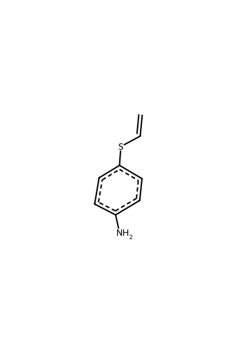 C=CSc1ccc(N)cc1